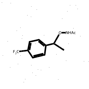 CC(=O)NOC(C)c1ccc(C(F)(F)F)cc1